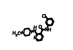 CN1CCN(Nc2ncccc2C(=O)Nc2cccc(Cl)c2)CC1